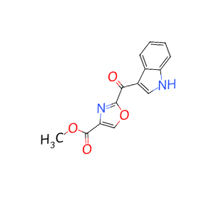 COC(=O)c1coc(C(=O)c2c[nH]c3ccccc23)n1